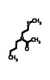 CCCCN(CCSC)C(C)=O